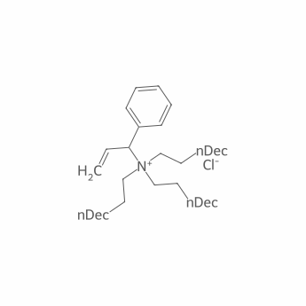 C=CC(c1ccccc1)[N+](CCCCCCCCCCCC)(CCCCCCCCCCCC)CCCCCCCCCCCC.[Cl-]